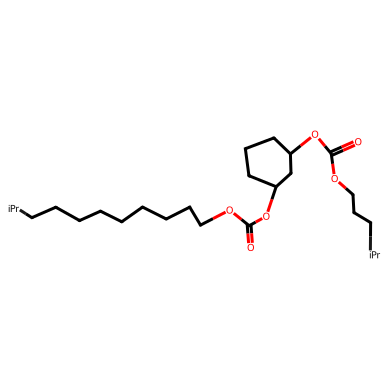 CC(C)CCCCCCCCCOC(=O)OC1CCCC(OC(=O)OCCCC(C)C)C1